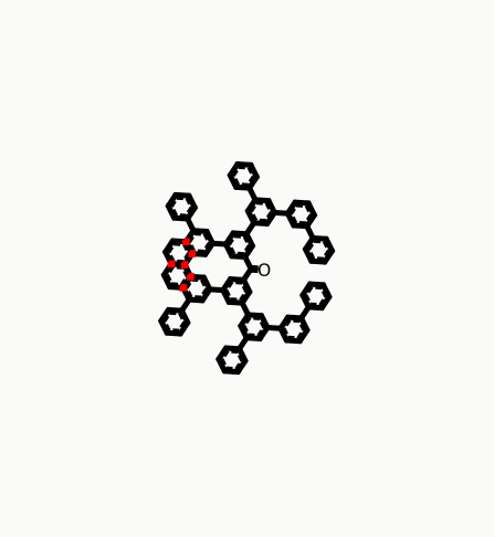 O=C(c1cc(-c2cc(-c3ccccc3)cc(-c3ccccc3)c2)cc(-c2cc(-c3ccccc3)cc(-c3cccc(-c4ccccc4)c3)c2)c1)c1cc(-c2cc(-c3ccccc3)cc(-c3ccccc3)c2)cc(-c2cc(-c3ccccc3)cc(-c3cccc(-c4ccccc4)c3)c2)c1